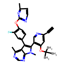 BC(B)(B)Oc1cc(C#C)ncc1-c1c(-c2ccc(Oc3nccc(C)n3)c(F)c2)c2c(C)ncnc2n1C